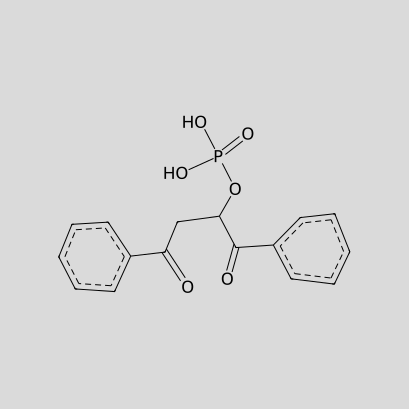 O=C(CC(OP(=O)(O)O)C(=O)c1ccccc1)c1ccccc1